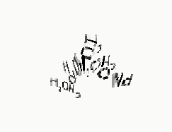 O.O.O.O.O.O.[Nd]